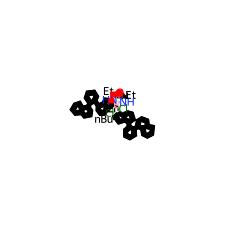 CCCCC1=Cc2c(-c3ccccc3-c3cccc4ccccc34)cccc2[CH]1[Zr]([Cl])([Cl])([B](NC(=O)CC)NC(=O)CC)[CH]1C(CCCC)=Cc2c(-c3ccccc3-c3cccc4ccccc34)cccc21